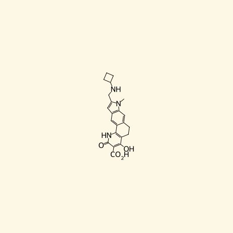 Cn1c(CNC2CCC2)cc2cc3c(cc21)CCc1c-3[nH]c(=O)c(C(=O)O)c1O